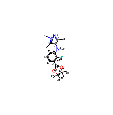 Cc1nn(C)c(C)c1N(C)c1cccc(B2OC(C)(C)C(C)(C)O2)c1F